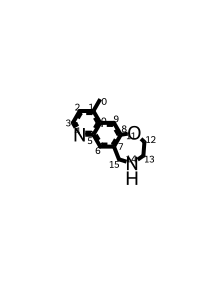 Cc1ccnc2cc3c(cc12)OCCNC3